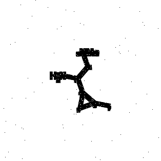 CNCC(N)C1CC1C